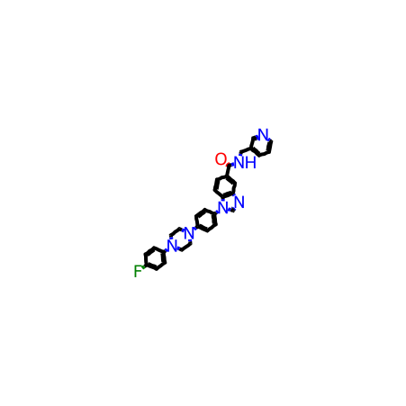 O=C(NCc1cccnc1)c1ccc2c(c1)ncn2-c1ccc(N2CCN(c3ccc(F)cc3)CC2)cc1